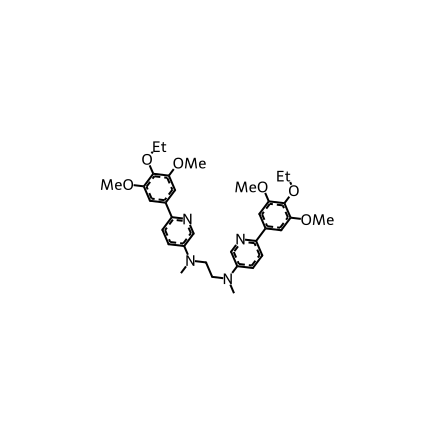 CCOc1c(OC)cc(-c2ccc(N(C)CCN(C)c3ccc(-c4cc(OC)c(OCC)c(OC)c4)nc3)cn2)cc1OC